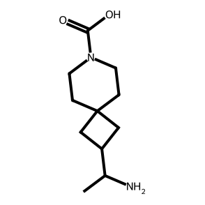 CC(N)C1CC2(CCN(C(=O)O)CC2)C1